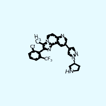 Cc1c(-c2c(Cl)cccc2C(F)(F)F)nc2c3cc(-c4cnn([C@H]5CCNC5)c4)cnc3ccn12